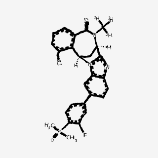 [2H]C([2H])([2H])N1C(=O)c2cccc(Cl)c2[C@H]2C[C@@H]1c1nc3ccc(-c4ccc(P(C)(C)=O)c(F)c4)cc3n12